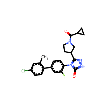 Cc1cc(Cl)ccc1-c1ccc(-n2c(C3CCN(C(=O)C4CC4)C3)n[nH]c2=O)c(F)c1